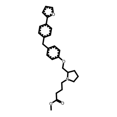 COC(=O)CCCN1CCCC1COc1ccc(Cc2ccc(-c3ccco3)cc2)cc1